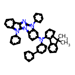 CC1(C)c2ccccc2-c2c(N(c3cccc(-c4ccccc4)c3)c3ccc4c(c3)n(-c3ccccc3)c3nc5c6ccccc6n(-c6ccccc6)c5n43)cccc21